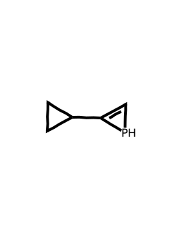 C1=C(C2CC2)P1